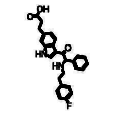 O=C(O)CCc1ccc2c(C(=O)C(NCCc3ccc(F)cc3)c3ccccc3)c[nH]c2c1